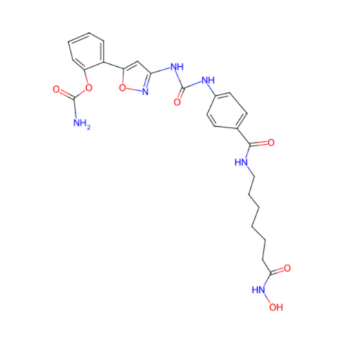 NC(=O)Oc1ccccc1-c1cc(NC(=O)Nc2ccc(C(=O)NCCCCCCC(=O)NO)cc2)no1